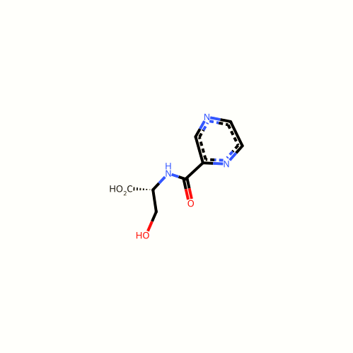 O=C(N[C@H](CO)C(=O)O)c1cnccn1